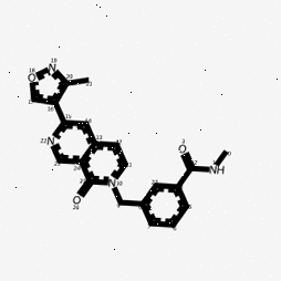 CNC(=O)c1cccc(Cn2ccc3cc(-c4conc4C)ncc3c2=O)c1